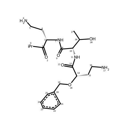 CC(C)C(=O)[C@H](CCN)NC(=O)[C@@H](NC(=O)[C@H](CCN)OCc1ccccc1)C(C)O